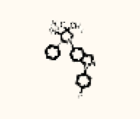 [2H]C1[C@@H](c2ccccc2)N(c2ccc3c(cnn3-c3ccc(F)cc3)c2)CC1(C)C